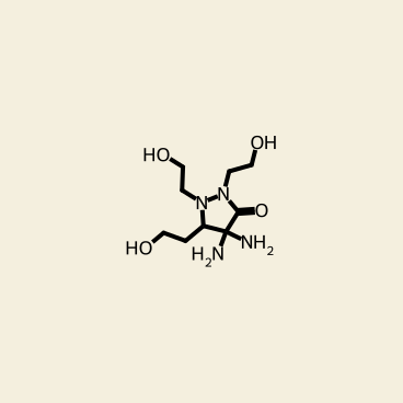 NC1(N)C(=O)N(CCO)N(CCO)C1CCO